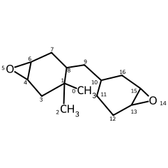 CC1(C)CC2OC2CC1CC1CCC2OC2C1